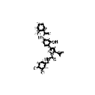 O=C(Nc1ccc(-c2cc(C3CC3)n(C(=O)NCc3ccc(Cl)c(Cl)c3)n2)c(O)c1)c1ccccc1Cl